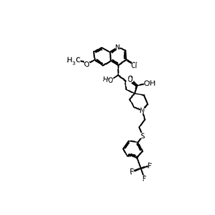 COc1ccc2ncc(Cl)c(C(O)CCC3(C(=O)O)CCN(CCSc4cccc(C(F)(F)F)c4)CC3)c2c1